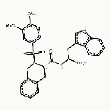 COc1ccc(S(=O)(=O)N2Cc3ccccc3C[C@H]2C(=O)NC(Cc2c[nH]c3ccccc23)C(=O)O)cc1OC